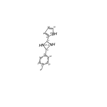 Cc1ccc(C2NC(C3=CC=CB3)N2)cc1